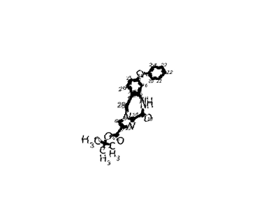 CC(C)(C)OC(=O)c1cn2c(n1)C(=O)Nc1cc(Oc3ccccc3)ccc1C2